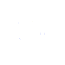 Nc1cccnc1-c1nccs1